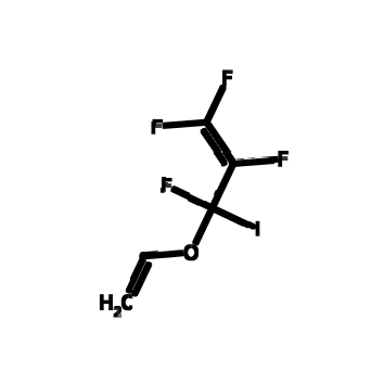 C=COC(F)(I)C(F)=C(F)F